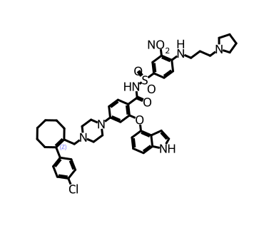 O=C(NS(=O)(=O)c1ccc(NCCCN2CCCC2)c([N+](=O)[O-])c1)c1ccc(N2CCN(C/C3=C(\c4ccc(Cl)cc4)CCCCCC3)CC2)cc1Oc1cccc2[nH]ccc12